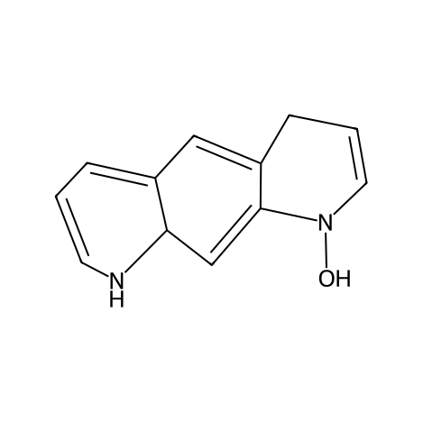 ON1C=CCC2=CC3=CC=CNC3C=C21